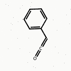 O=C=Cc1c[c]ccc1